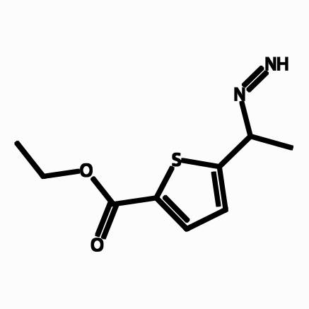 CCOC(=O)c1ccc(C(C)N=N)s1